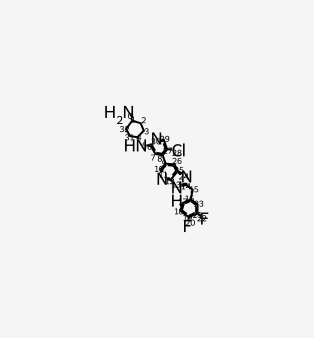 NC1CCC(Nc2cc(-c3cnc4[nH]c(Cc5ccc(F)c(F)c5)nc4c3)c(Cl)cn2)CC1